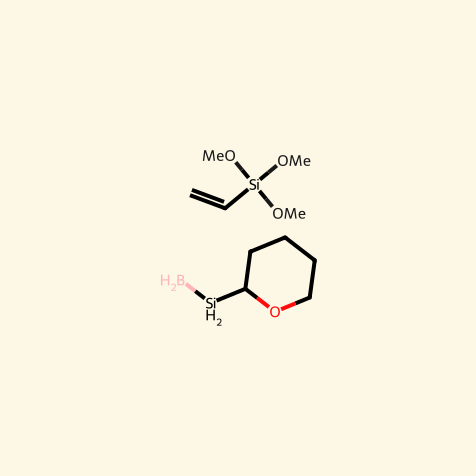 B[SiH2]C1CCCCO1.C=C[Si](OC)(OC)OC